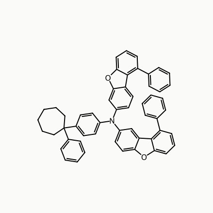 c1ccc(-c2cccc3oc4cc(N(c5ccc(C6(c7ccccc7)CCCCCC6)cc5)c5ccc6oc7cccc(-c8ccccc8)c7c6c5)ccc4c23)cc1